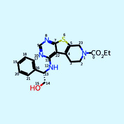 CCOC(=O)N1CCc2c(sc3ncnc(N[C@H](CO)c4ccccc4)c23)C1